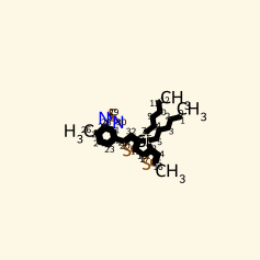 CCCCCC[Si]1(CCCCCC)c2cc(C)sc2-c2sc(-c3ccc(C)c4nsnc34)cc21